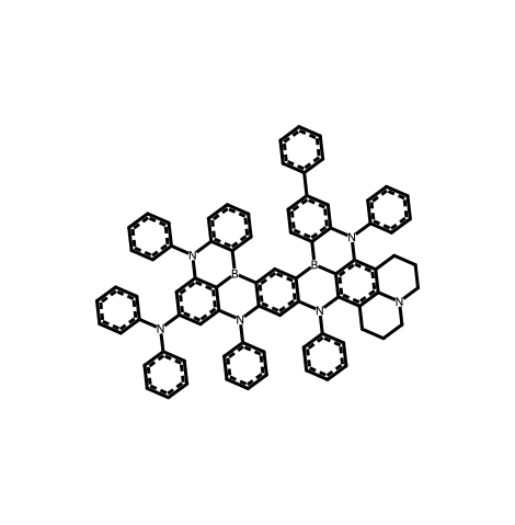 c1ccc(-c2ccc3c(c2)N(c2ccccc2)c2c4c5c(c6c2B3c2cc3c(cc2N6c2ccccc2)N(c2ccccc2)c2cc(N(c6ccccc6)c6ccccc6)cc6c2B3c2ccccc2N6c2ccccc2)CCCN5CCC4)cc1